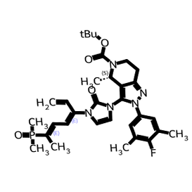 C=C/C(=C\C=C(/C)P(C)(C)=O)n1ccn(-c2c3c(nn2-c2cc(C)c(F)c(C)c2)CCN(C(=O)OC(C)(C)C)[C@H]3C)c1=O